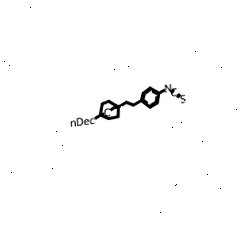 CCCCCCCCCCC12CCC(CCc3ccc(N=C=S)cc3)(CC1)CC2